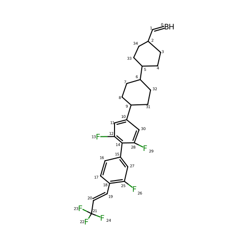 B=CC1CCC(C2CCC(c3cc(F)c(-c4ccc(/C=C/C(F)(F)F)c(F)c4)c(F)c3)CC2)CC1